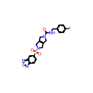 O=C(NCc1ccc(F)cc1)N1CC2=C(C1)CN(S(=O)(=O)c1ccc3nsnc3c1)C2